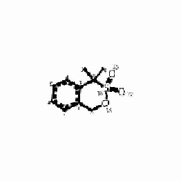 CC1(C)c2ccccc2COS1(=O)=O